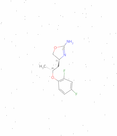 C[C@H](C[C@H]1COC(N)=N1)Oc1ccc(F)cc1F